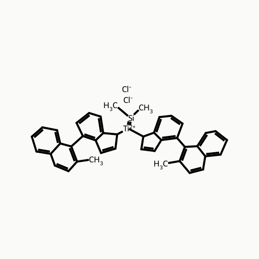 Cc1ccc2ccccc2c1-c1cccc2c1C=C[CH]2[Ti+2]([CH]1C=Cc2c(-c3c(C)ccc4ccccc34)cccc21)=[Si](C)C.[Cl-].[Cl-]